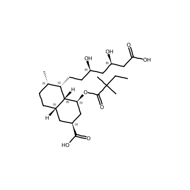 CCC(C)(C)C(=O)O[C@H]1C[C@@H](C(=O)O)C[C@@H]2CC[C@H](C)[C@H](CC[C@@H](O)C[C@@H](O)CC(=O)O)[C@@H]21